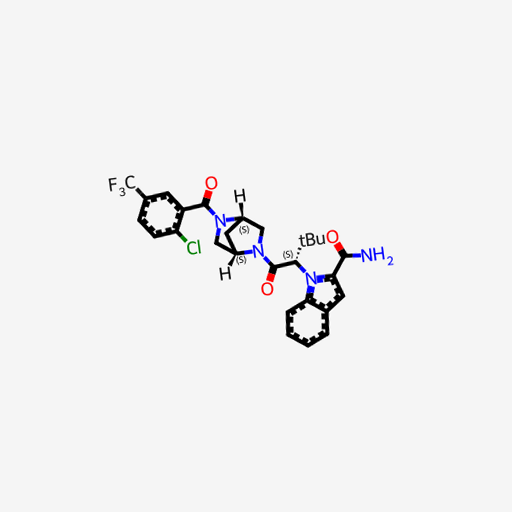 CC(C)(C)[C@@H](C(=O)N1C[C@@H]2C[C@H]1CN2C(=O)c1cc(C(F)(F)F)ccc1Cl)n1c(C(N)=O)cc2ccccc21